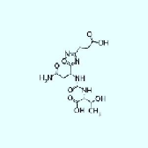 CC(O)[C@@H](NC(=O)N[C@@H](CC(N)=O)c1nc(CCC(=O)O)no1)C(=O)O